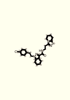 O=C(NCCc1nnc2ccccn12)c1nn(CCc2ccc(Cl)cc2)c2ccccc12